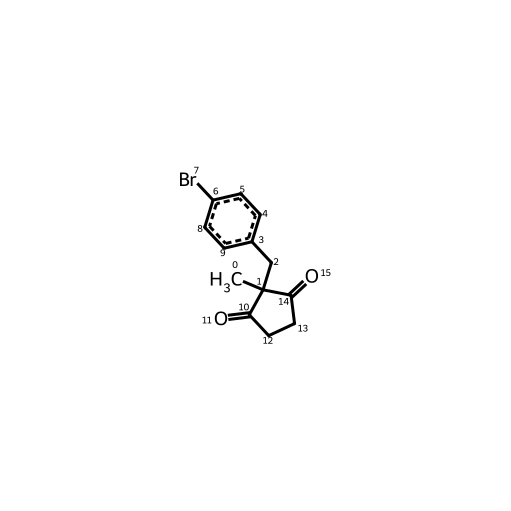 CC1(Cc2ccc(Br)cc2)C(=O)CCC1=O